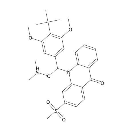 COc1cc(C(O[SiH](C)C)n2c3ccccc3c(=O)c3ccc(S(C)(=O)=O)cc32)cc(OC)c1C(C)(C)C